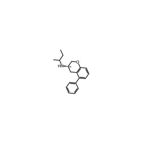 CCC(C)N[C@H]1COc2cccc(-c3ccccc3)c2C1